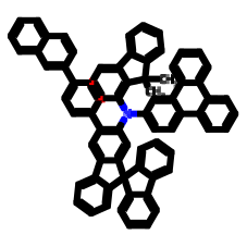 CC1(C)c2ccccc2-c2cccc(N(c3ccc4c5ccccc5c5ccccc5c4c3)c3cc4c(cc3-c3ccc(-c5ccc6ccccc6c5)cc3)-c3ccccc3C43c4ccccc4-c4ccccc43)c21